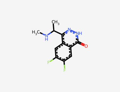 CNC(C)c1n[nH]c(=O)c2cc(F)c(F)cc12